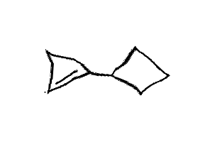 [C]1=C(C2CCC2)C1